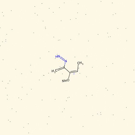 C=C(N=N)/C(=C\C)OC